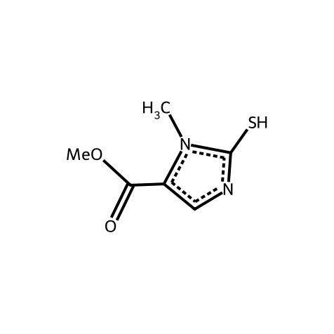 COC(=O)c1cnc(S)n1C